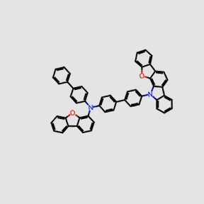 c1ccc(-c2ccc(N(c3ccc(-c4ccc(-n5c6ccccc6c6ccc7c8ccccc8oc7c65)cc4)cc3)c3cccc4c3oc3ccccc34)cc2)cc1